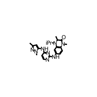 Cc1cc(Nc2ccnc(Nc3ccc4c(c3)N(C(C)C)C(C)C(=O)N4C)n2)n(C)n1